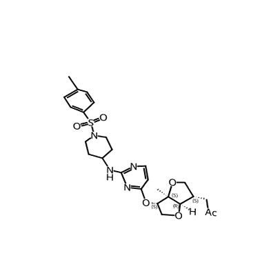 CC(=O)C[C@H]1CO[C@]2(C)[C@@H](Oc3ccnc(NC4CCN(S(=O)(=O)c5ccc(C)cc5)CC4)n3)CO[C@H]12